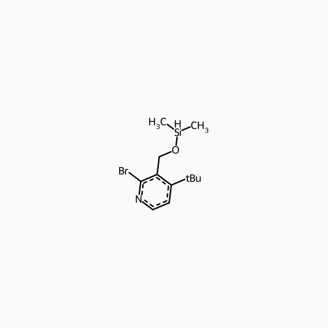 C[SiH](C)OCc1c(C(C)(C)C)ccnc1Br